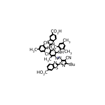 Cc1cc(C)c(Nc2nc(N(c3nc4ccc(C(=O)O)cc4s3)c3c(C)cc(C)cc3C)cc(C)c2/N=N/c2c(C#N)c(C(C)(C)C)nn2-c2nc3ccc(C(=O)O)cc3s2)c(C)c1